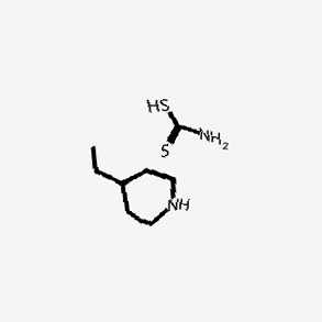 CCC1CCNCC1.NC(=S)S